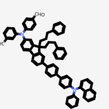 O=Cc1ccc(N(c2cccc(C=O)c2)c2ccc3c(c2)C(CCCc2ccccc2)(CCCc2ccccc2)c2cc(-c4ccc(-c5ccc(N(c6ccccc6)c6cccc7ccccc67)cc5)cc4)ccc2-3)cc1